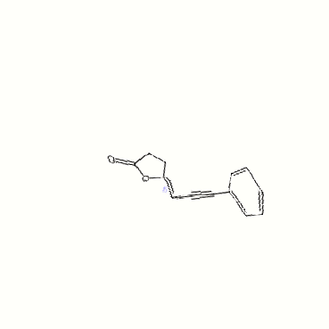 O=C1CC/C(=C\C#Cc2ccccc2)O1